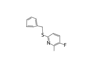 Cc1nc(SCc2ccccc2)ccc1F